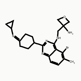 Cc1ccc2nc(C3CCC(=NC4CC4)CC3)nc(NCC3(N)COC3)c2c1Br